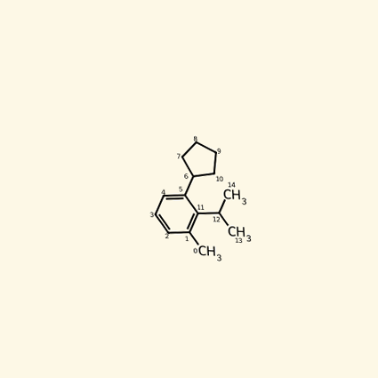 Cc1cccc(C2CCCC2)c1C(C)C